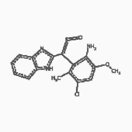 COc1cc(Cl)c(C)c(C(=S=O)c2nc3ccccc3[nH]2)c1N